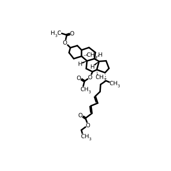 CCOC(=O)C=CC=CCCC(C)[C@H]1CC[C@H]2[C@@H]3CCC4CC(OC(C)=O)CC[C@]4(C)[C@H]3CC(OC(C)=O)[C@]12C